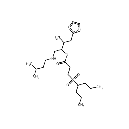 CCCN(CCC)S(=O)(=O)CCC(=O)OC(CNCCC(C)C)C(N)Cc1cccs1